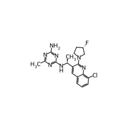 Cc1nc(N)nc(N[C@@H](C)c2cc3cccc(Cl)c3nc2N2CC[C@H](F)C2)n1